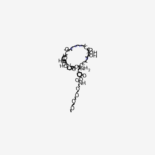 CCOCCOCCOCCOCCNC(=O)O[C@@H]1CC[C@@H](C[C@@H](N)[C@@H]2CC[C@H](C)/C=C(\C)[C@@H](O)[C@@H](O)C(=O)[C@H](C)C[C@H](C)/C=C/C=C/C=C(\C)[C@@H](OC)C[C@@H]3CC[C@@H](C)[C@@](O)(O3)C(=O)C(O)N3CCCC[C@H]3C(=O)O2)C[C@H]1OC